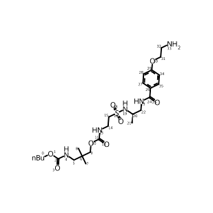 CCCCOC(=O)NCC(C)(C)COC(=O)NCCS(=O)(=O)N[C@H](C)CNC(=O)c1ccc(OCCN)cc1